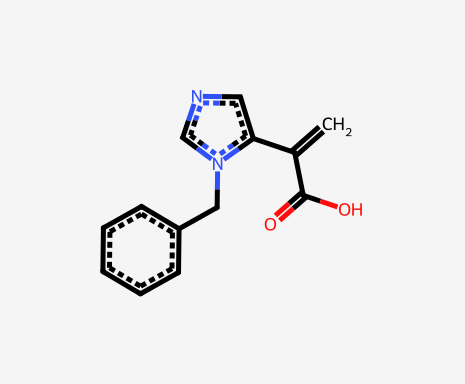 C=C(C(=O)O)c1cncn1Cc1ccccc1